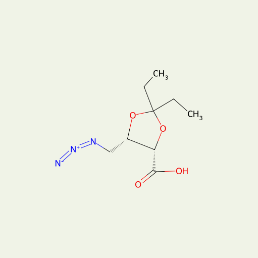 CCC1(CC)O[C@@H](CN=[N+]=[N-])[C@@H](C(=O)O)O1